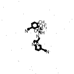 CC1C=CC(C#N)=CC1(C)S(=O)(=O)NN=Cc1cnc2ccc(C#N)cn12